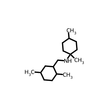 CC1CCC(C)(NCC2CC(C)CCC2C)CC1